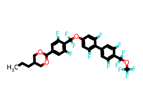 CCCC1COC(c2cc(F)c(C(F)(F)Oc3cc(F)c(-c4cc(F)c(C(F)(F)OC(F)(F)F)c(F)c4)c(F)c3)c(F)c2)OC1